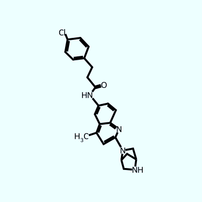 Cc1cc(N2CC3CC2CN3)nc2ccc(NC(=O)CCc3ccc(Cl)cc3)cc12